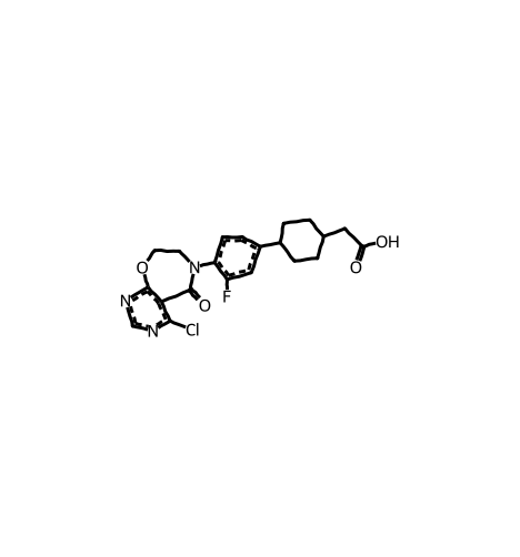 O=C(O)CC1CCC(c2ccc(N3CCOc4ncnc(Cl)c4C3=O)c(F)c2)CC1